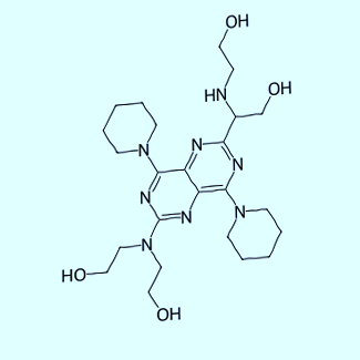 OCCNC(CO)c1nc(N2CCCCC2)c2nc(N(CCO)CCO)nc(N3CCCCC3)c2n1